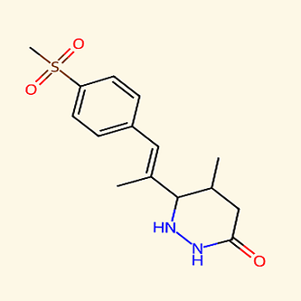 C/C(=C\c1ccc(S(C)(=O)=O)cc1)C1NNC(=O)CC1C